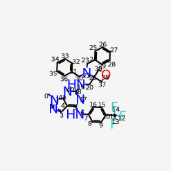 Cn1ncc2c(Nc3ccc(C(F)(F)F)cc3)nc(NCC3(N(Cc4ccccc4)Cc4ccccc4)COC3)nc21